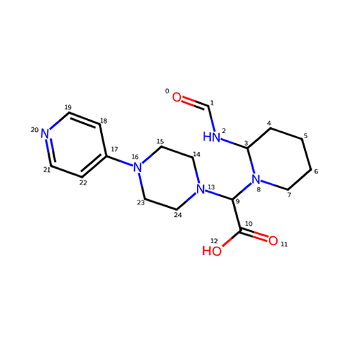 O=CNC1CCCCN1C(C(=O)O)N1CCN(c2ccncc2)CC1